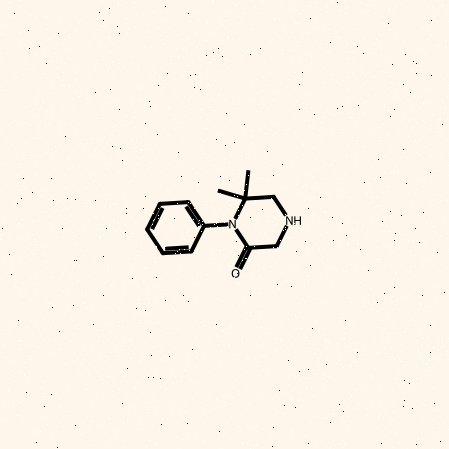 CC1(C)CNCC(=O)N1c1ccccc1